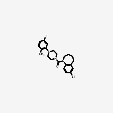 Cc1ccc(Cl)cc1N1CCN(C(=O)N2CCCCc3cc(Cl)ccc32)CC1